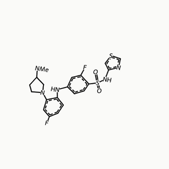 CNC1CCN(c2cc(F)ccc2Nc2ccc(S(=O)(=O)Nc3cscn3)c(F)c2)C1